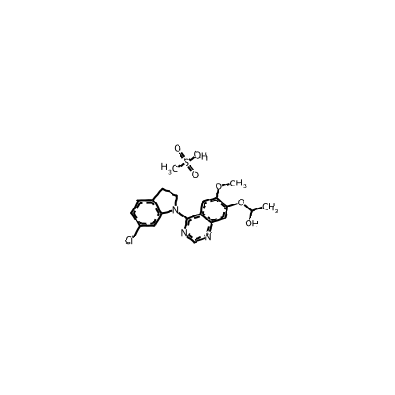 COc1cc2c(N3CCc4ccc(Cl)cc43)ncnc2cc1OC(C)O.CS(=O)(=O)O